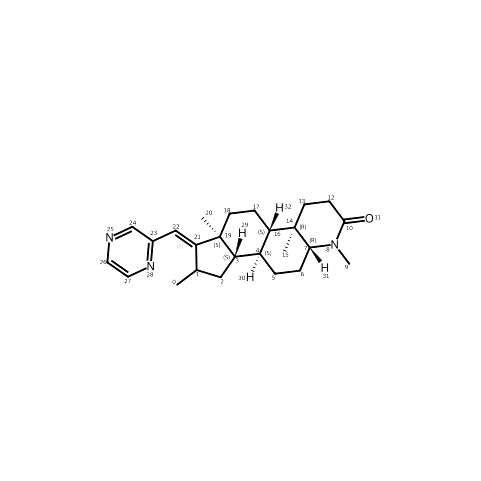 CC1C[C@H]2[C@@H]3CC[C@H]4N(C)C(=O)CC[C@]4(C)[C@H]3CC[C@]2(C)/C1=C/c1cnccn1